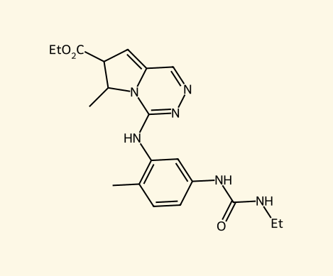 CCNC(=O)Nc1ccc(C)c(NC2=NN=CC3=CC(C(=O)OCC)C(C)N32)c1